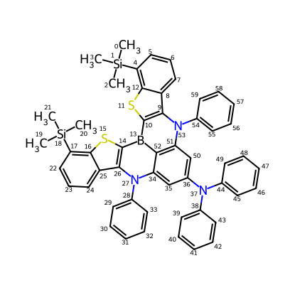 C[Si](C)(C)c1cccc2c3c(sc12)B1c2sc4c([Si](C)(C)C)cccc4c2N(c2ccccc2)c2cc(N(c4ccccc4)c4ccccc4)cc(c21)N3c1ccccc1